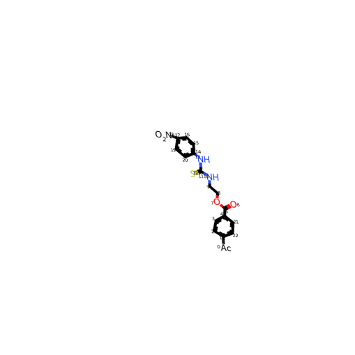 CC(=O)c1ccc(C(=O)OCCNC(=S)Nc2ccc([N+](=O)[O-])cc2)cc1